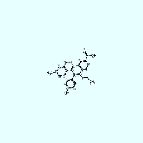 CCC[C@H](c1ccc(C(=O)O)cc1)C(c1ccc(Cl)cc1)c1cccc2nc(C)ccc12